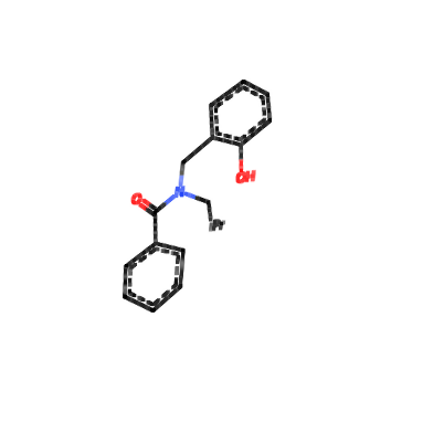 CC(C)CN(Cc1ccccc1O)C(=O)c1ccccc1